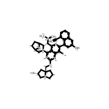 C#Cc1cccc2cc(O)cc(-c3nc(CN(C)C)c4c(N5CC6CCC(C5)N6)nc(OC[C@@]56CCCN5C[C@H](F)C6)nc4c3F)c12